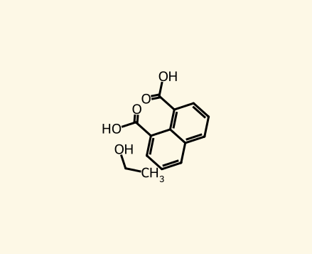 CCO.O=C(O)c1cccc2cccc(C(=O)O)c12